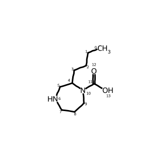 CCCCC1CNCCCN1C(=O)O